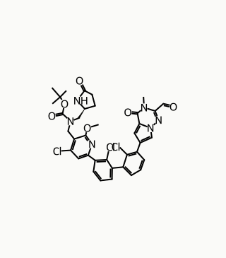 COc1nc(-c2cccc(-c3cccc(-c4cc5c(=O)n(C)c(C=O)nn5c4)c3Cl)c2Cl)cc(Cl)c1CN(C[C@@H]1CCC(=O)N1)C(=O)OC(C)(C)C